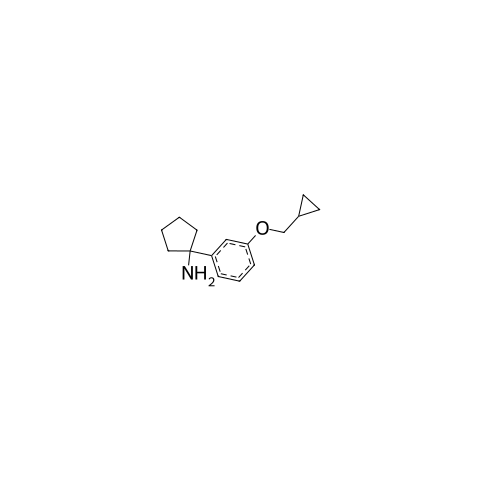 NC1(c2cccc(OCC3CC3)c2)CCCC1